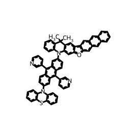 CC1(C)c2ccccc2N(c2ccc3c(-c4cccnc4)c4cc(N5c6ccccc6Sc6ccccc65)ccc4c(-c4cccnc4)c3c2)c2cc3oc4cc5cc6ccccc6cc5cc4c3cc21